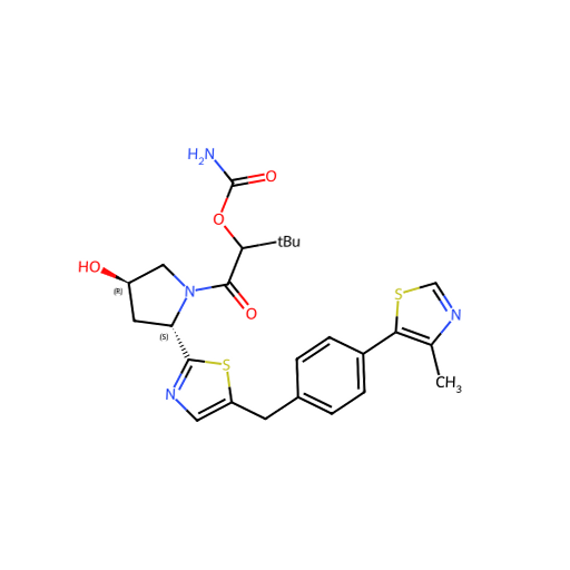 Cc1ncsc1-c1ccc(Cc2cnc([C@@H]3C[C@@H](O)CN3C(=O)C(OC(N)=O)C(C)(C)C)s2)cc1